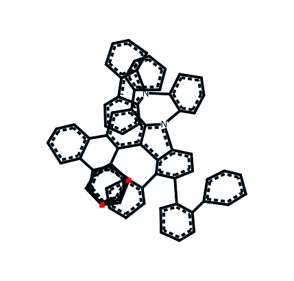 c1ccc(-c2ccccc2-c2ccc3c(c2-c2ccccc2)c2c(-c4ccccc4)c(-c4ccccc4-c4ccccc4)cc(-c4ccccc4)c2n3-c2ccccc2-n2c3ccccc3c3ccccc32)cc1